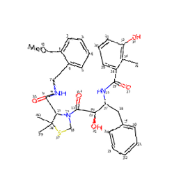 COc1ccccc1CNC(=O)C1N(C(=O)[C@H](O)C(Cc2ccccc2)NC(=O)c2cccc(O)c2C)CSC1(C)C